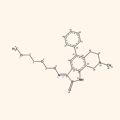 COCCOCO/N=C1/C(=O)Nc2c1cc(-c1ccccc1)c1c2CN(C)CC1